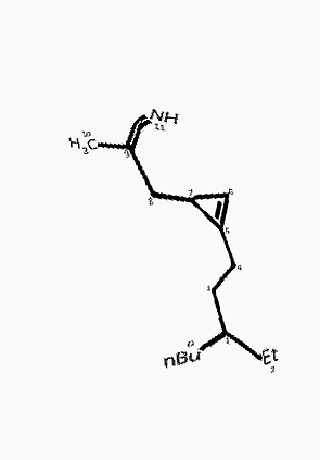 CCCCC(CC)CCC1=CC1CC(C)=N